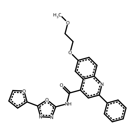 COCCOc1ccc2nc(-c3ccccc3)cc(C(=O)Nc3nnc(-c4ccco4)o3)c2c1